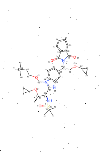 C[C@@H](OC1CC1)[C@H](N[S@+]([O-])C(C)(C)C)c1nc2cc([C@@H](COC3CC3)N3C(=O)c4ccccc4C3=O)ccc2n1COCC[Si](C)(C)C